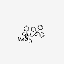 COC(=O)C(CCSC(c1ccccc1)(c1ccccc1)c1ccccc1)OS(=O)(=O)c1ccc(C)cc1